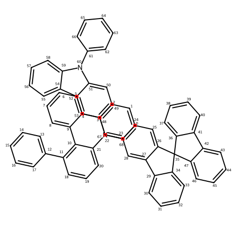 c1ccc(-c2ccccc2-c2c(-c3ccccc3)cccc2N(c2ccc3c(c2)-c2ccccc2C32c3ccccc3-c3ccccc32)c2ccc3c(c2)c2ccccc2n3-c2ccccc2)cc1